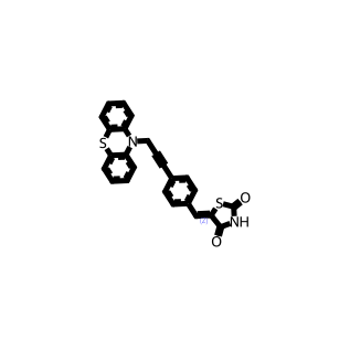 O=C1NC(=O)/C(=C/c2ccc(C#CCN3c4ccccc4Sc4ccccc43)cc2)S1